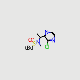 CC(c1nccnc1Cl)N(C)[S+]([O-])C(C)(C)C